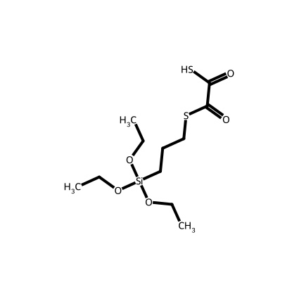 CCO[Si](CCCSC(=O)C(=O)S)(OCC)OCC